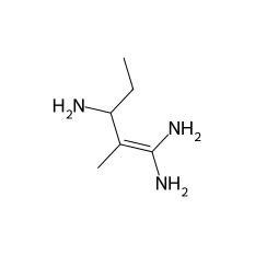 CCC(N)C(C)=C(N)N